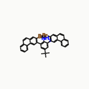 CC(C)(C)c1cc(-c2cc3c(ccc4ccccc43)cc2Br)c(N)c(-c2cc3c(ccc4ccccc43)cc2Br)c1